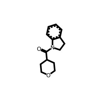 O=C(C1CCOCC1)N1CCc2ccccc21